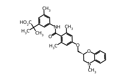 Cc1cc(NC(=O)c2c(C)cc(OC[C@@H]3CN(C)c4ccccc4O3)cc2C)cc(C(C)(C)C(=O)O)c1